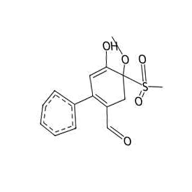 COC1(S(C)(=O)=O)CC(C=O)=C(c2ccccc2)C=C1O